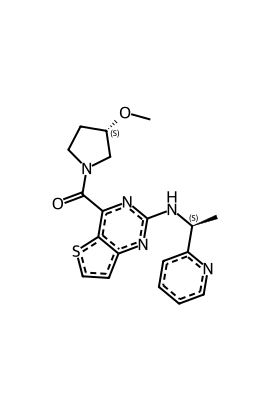 CO[C@H]1CCN(C(=O)c2nc(N[C@@H](C)c3ccccn3)nc3ccsc23)C1